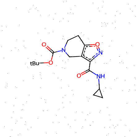 CC(C)(C)OC(=O)N1CCc2onc(C(=O)NC3CC3)c2C1